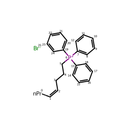 CCC/C=C\CCC[P+](c1ccccc1)(c1ccccc1)c1ccccc1.[Br-]